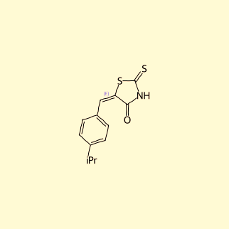 CC(C)c1ccc(/C=C2/SC(=S)NC2=O)cc1